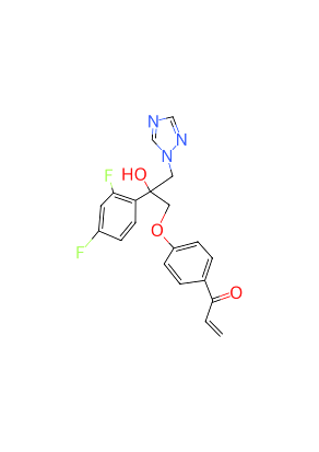 C=CC(=O)c1ccc(OCC(O)(Cn2cncn2)c2ccc(F)cc2F)cc1